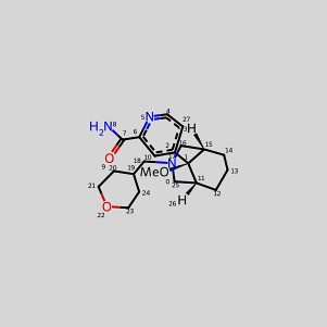 CO[C@]1(c2ccnc(C(N)=O)c2)[C@@H]2CCC[C@H]1CN(CC1CCOCC1)C2